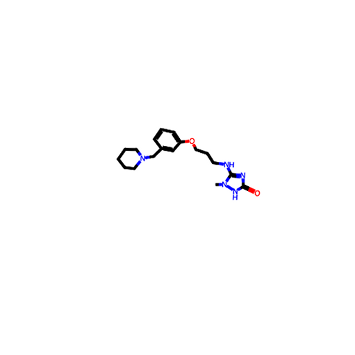 Cn1[nH]c(=O)nc1NCCCOc1cccc(CN2CCCCC2)c1